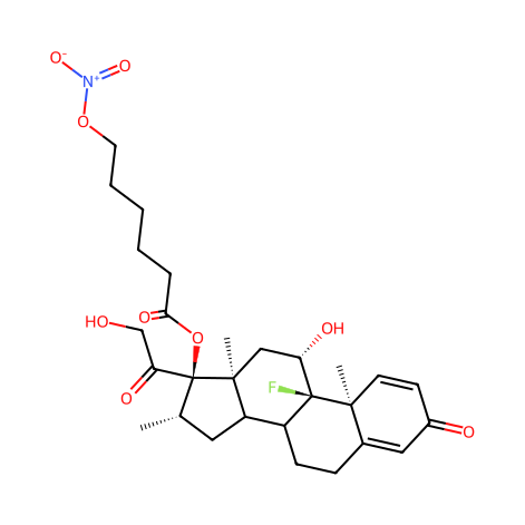 C[C@H]1CC2C3CCC4=CC(=O)C=C[C@]4(C)[C@@]3(F)[C@@H](O)C[C@]2(C)[C@@]1(OC(=O)CCCCCO[N+](=O)[O-])C(=O)CO